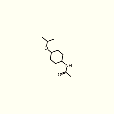 CC(=O)NC1CCC(OC(C)C)CC1